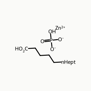 CCCCCCCCCCCC(=O)O.O=P([O-])([O-])O.[Zn+2]